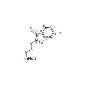 CCCCCCCCCCCCn1sc2cc(C)ccc2c1=O